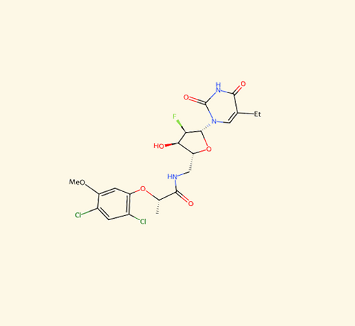 CCc1cn([C@@H]2O[C@H](CNC(=O)[C@H](C)Oc3cc(OC)c(Cl)cc3Cl)[C@@H](O)[C@H]2F)c(=O)[nH]c1=O